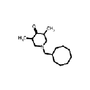 CC1CN(CC2CCCCCCC2)CC(C)C1=O